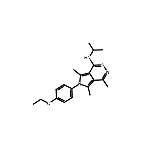 CCOc1ccc(-n2c(C)c3c(C)nnc(NC(C)C)c3c2C)cc1